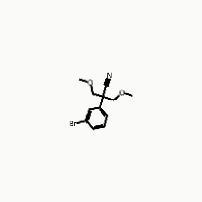 COCC(C#N)(COC)c1cccc(Br)c1